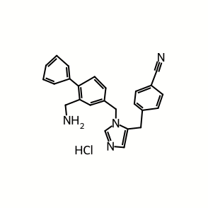 Cl.N#Cc1ccc(Cc2cncn2Cc2ccc(-c3ccccc3)c(CN)c2)cc1